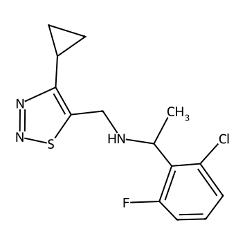 CC(NCc1snnc1C1CC1)c1c(F)cccc1Cl